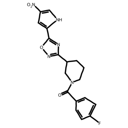 O=C(c1ccc(F)cc1)N1CCCC(c2noc(-c3cc([N+](=O)[O-])c[nH]3)n2)C1